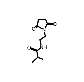 CC(C)C(=O)NCCN1C(=O)CCC1=O